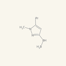 BBc1cc(C(C)C)n(C)n1